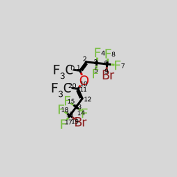 FC(F)(F)C(=CC(F)(F)C(F)(F)Br)OC(=CC(F)(F)C(F)(F)Br)C(F)(F)F